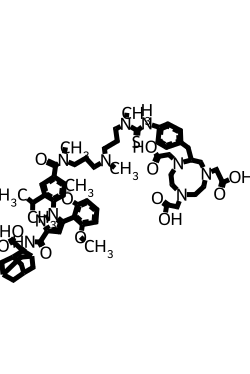 COc1cccc(OC)c1-c1cc(C(=O)NC2(C(=O)O)C3CC4CC(C3)CC2C4)nn1-c1ccc(C(=O)N(C)CCCN(C)CCCN(C)C(=S)Nc2ccc(CC3CN(CC(=O)O)CCN(CC(=O)O)CCN3CC(=O)O)cc2)cc1C(C)C